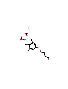 COC(=O)[C@H](Cc1c(C)cc(OCCCCBr)cc1C)NC(=O)OC(C)(C)C